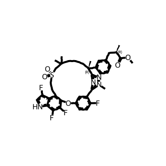 COC(=O)[C@H](C)Cc1cccc([C@@]2(C)CCCC(C)(C)CS(=O)(=O)CCc3c(c(F)c(F)c4[nH]cc(F)c34)Oc3ccc(F)c(c3)-c3nc2nn3C)c1